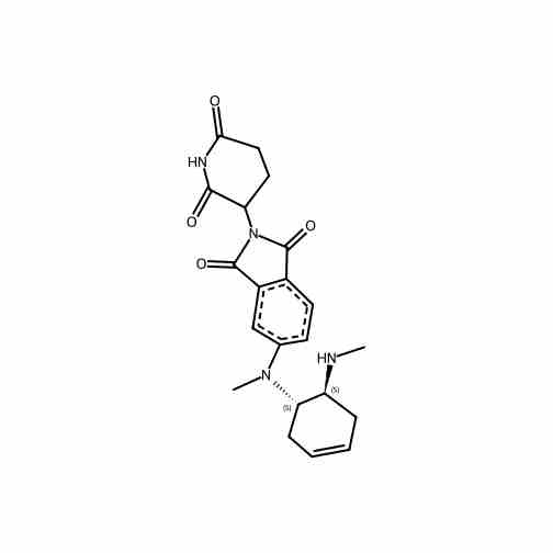 CN[C@H]1CC=CC[C@@H]1N(C)c1ccc2c(c1)C(=O)N(C1CCC(=O)NC1=O)C2=O